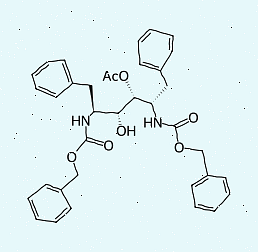 CC(=O)O[C@@H]([C@H](O)[C@H](Cc1ccccc1)NC(=O)OCc1ccccc1)[C@H](Cc1ccccc1)NC(=O)OCc1ccccc1